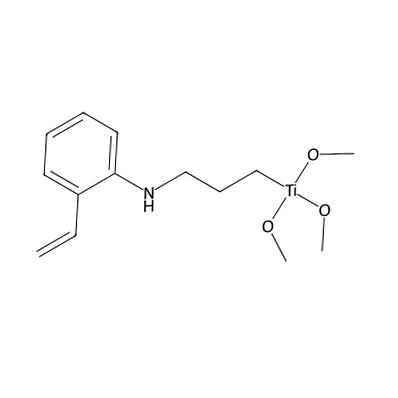 C=Cc1ccccc1NCC[CH2][Ti]([O]C)([O]C)[O]C